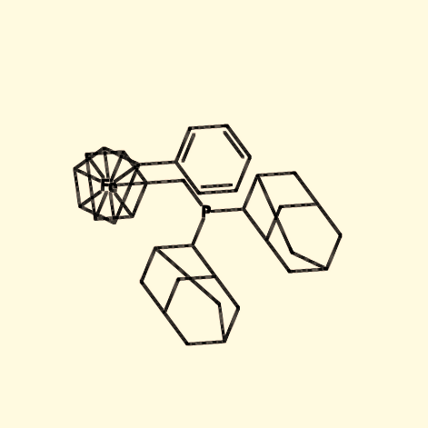 c1ccc([C]23[CH]4[CH]5[CH]6[CH]2[Fe]56432789[CH]3[CH]2[CH]7[C]8(CP(C2C4CC5CC(C4)CC2C5)C2C4CC5CC(C4)CC2C5)[CH]39)cc1